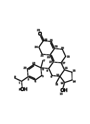 CC(O)C1=CCC(C)(C2CC3(C)C(O)CCC3C3CCC4=CC(=O)CCC4=C32)C=C1